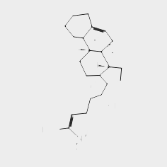 CC(=CCC[C@@H](C)[C@H]1CC[C@H]2[C@@H]3CC=C4CCCC[C@]4(C)[C@H]3CC[C@]12C)[N+](=O)[O-]